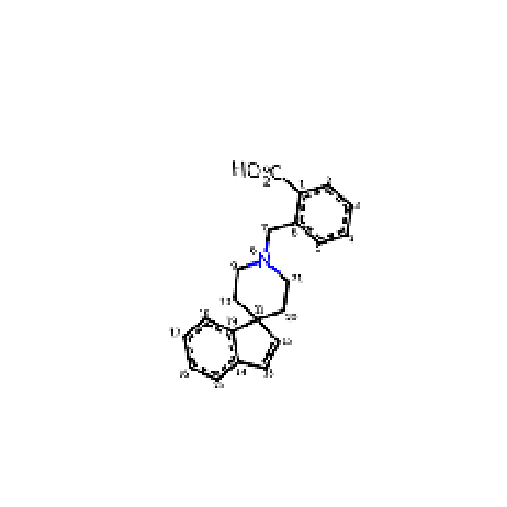 O=C(O)c1ccccc1CN1CCC2(C=Cc3ccccc32)CC1